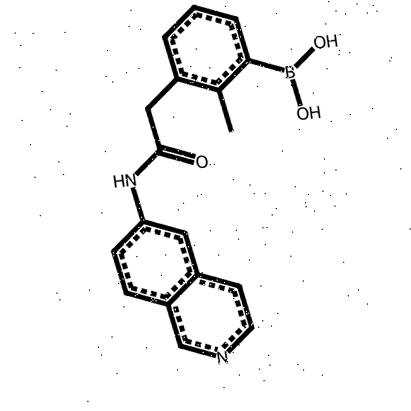 Cc1c(CC(=O)Nc2ccc3cnccc3c2)cccc1B(O)O